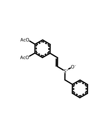 CC(=O)Oc1ccc(/C=C/[S+]([O-])Cc2ccccc2)cc1OC(C)=O